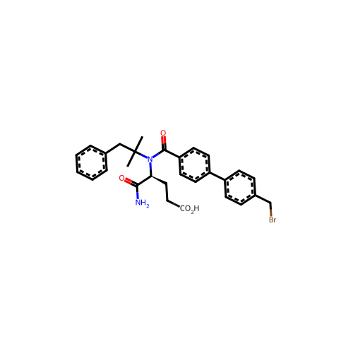 CC(C)(Cc1ccccc1)N(C(=O)c1ccc(-c2ccc(CBr)cc2)cc1)[C@@H](CCC(=O)O)C(N)=O